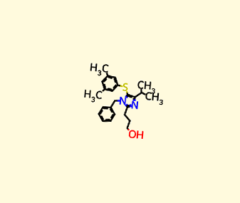 Cc1cc(C)cc(Sc2c(C(C)C)nc(CCCO)n2Cc2ccccc2)c1